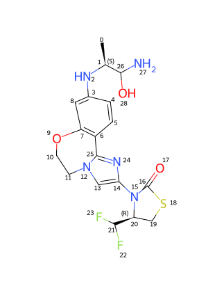 C[C@H](Nc1ccc2c(c1)OCCn1cc(N3C(=O)SC[C@H]3C(F)F)nc1-2)C(N)O